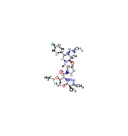 CCO[C@H](C)[C@H](NC(=O)[C@H](C)NC)C(=O)N1CCC[C@H]1CN(CCc1ccc(F)cc1)C(=O)C1CN(C)C=N1